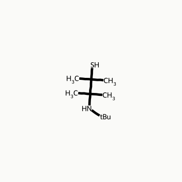 CC(C)(C)NC(C)(C)C(C)(C)S